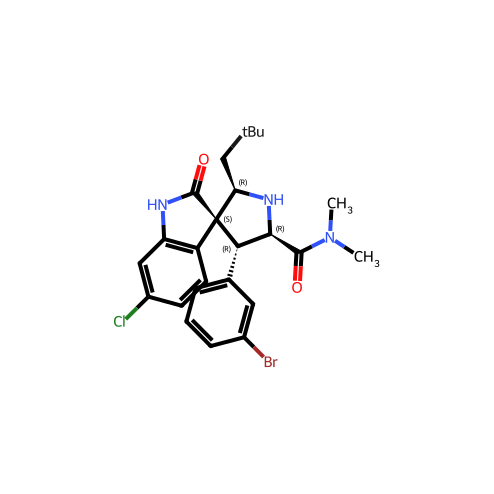 CN(C)C(=O)[C@@H]1N[C@H](CC(C)(C)C)[C@]2(C(=O)Nc3cc(Cl)ccc32)[C@H]1c1cccc(Br)c1